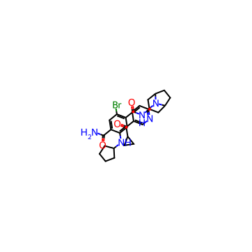 NC(=O)c1cc(Br)c(C(=O)NC2CC3CCC(C2)N3c2ccc(C(=O)C3CC3)cn2)cc1NC1CCCC1